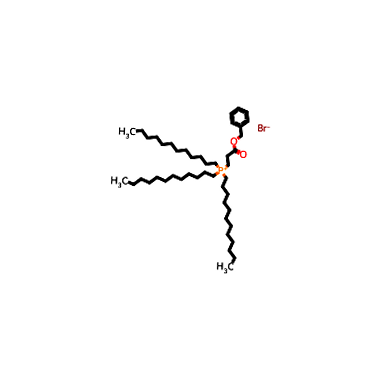 CCCCCCCCCCCC[P+](CCCCCCCCCCCC)(CCCCCCCCCCCC)CCC(=O)OCc1ccccc1.[Br-]